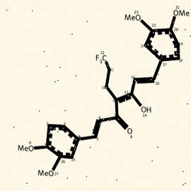 COc1ccc(/C=C/C(=O)/C(CCC(F)(F)F)=C(O)/C=C/c2ccc(OC)c(OC)c2)cc1OC